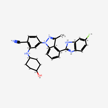 Cc1nn(-c2ccc(C#N)c(NC3CCC(O)CC3)c2)c2cccc(-c3nc4ccc(F)cc4[nH]3)c12